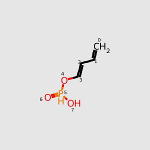 C=CC=CO[PH](=O)O